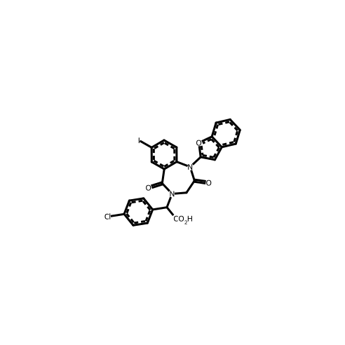 O=C(O)C(c1ccc(Cl)cc1)N1CC(=O)N(c2cc3ccccc3o2)c2ccc(I)cc2C1=O